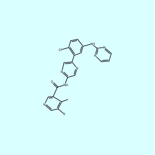 Cc1c(F)cncc1C(=O)Nc1cnc(-c2cc(Nc3ncccn3)ccc2Cl)cn1